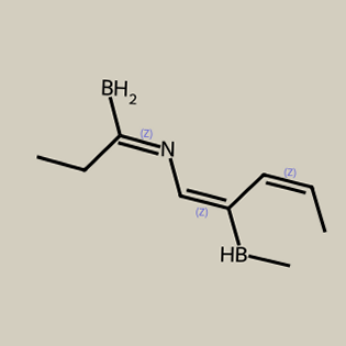 B/C(CC)=N/C=C(BC)\C=C/C